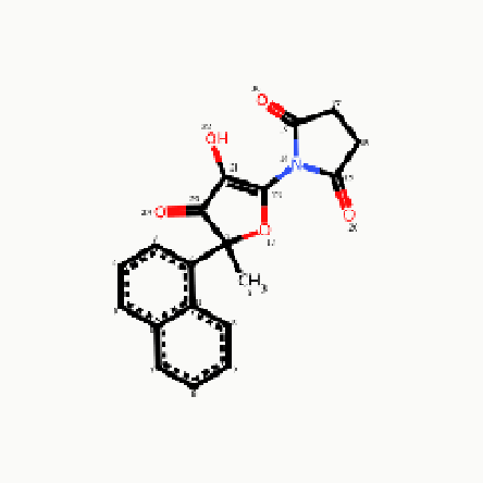 CC1(c2cccc3ccccc23)OC(N2C(=O)CCC2=O)=C(O)C1=O